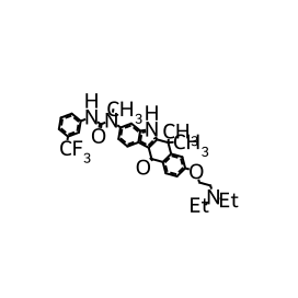 CCN(CC)CCOc1ccc2c(c1)C(C)(C)c1[nH]c3cc(N(C)C(=O)Nc4cccc(C(F)(F)F)c4)ccc3c1C2=O